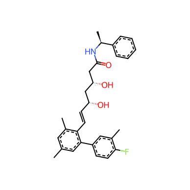 Cc1cc(C)c(/C=C/[C@@H](O)C[C@@H](O)CC(=O)N[C@@H](C)c2ccccc2)c(-c2ccc(F)c(C)c2)c1